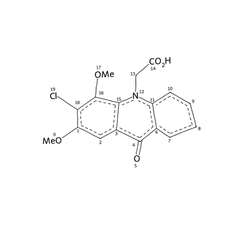 COc1cc2c(=O)c3ccccc3n(CC(=O)O)c2c(OC)c1Cl